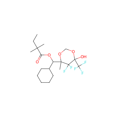 CCC(C)(C)C(=O)OC(C1CCCCC1)C1(C)OCOC(O)(C(F)(F)F)C1(F)F